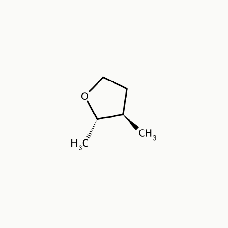 C[C@@H]1CCO[C@H]1C